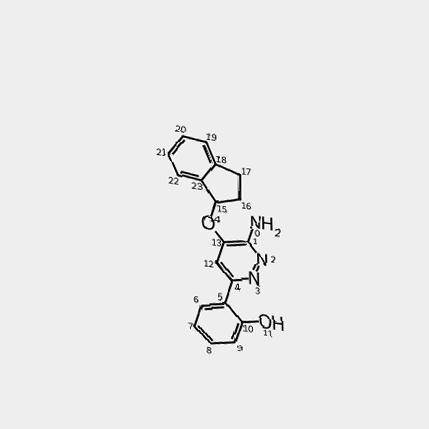 Nc1nnc(-c2ccccc2O)cc1OC1CCc2ccccc21